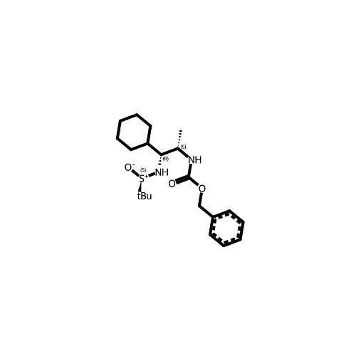 C[C@H](NC(=O)OCc1ccccc1)[C@H](N[S@+]([O-])C(C)(C)C)C1CCCCC1